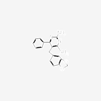 Nc1nc(N)c(Cc2ccc3c(c2)OCO3)c(-c2ccccc2)n1